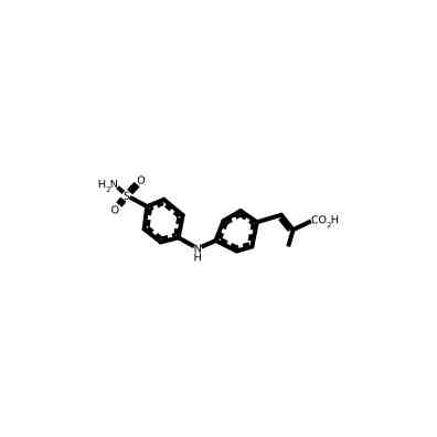 C/C(=C\c1ccc(Nc2ccc(S(N)(=O)=O)cc2)cc1)C(=O)O